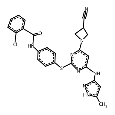 Cc1cc(Nc2cc(N3CC(C#N)C3)nc(Sc3ccc(NC(=O)c4ccccc4Cl)cc3)n2)n[nH]1